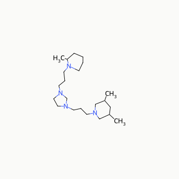 CC1CC(C)CN(CCCN2CCN(CCCN3CCCCC3C)C2)C1